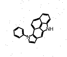 c1ccc(-n2ccc3cc4[nH]c5cccc6ccc(c4c65)c32)cc1